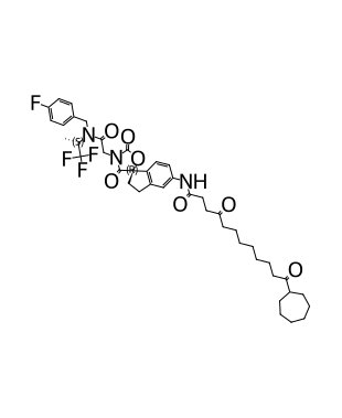 C[C@H](N(Cc1ccc(F)cc1)C(=O)CN1C(=O)O[C@@]2(CCc3cc(NC(=O)CCC(=O)CCCCCCCC(=O)C4CCCCCC4)ccc32)C1=O)C(F)(F)F